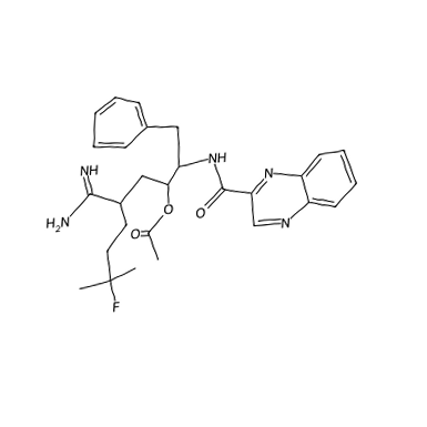 CC(=O)OC(CC(CCC(C)(C)F)C(=N)N)C(Cc1ccccc1)NC(=O)c1cnc2ccccc2n1